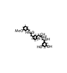 COc1cccc(CNC(=O)Cc2cccc(CC(C)(C)NC[C@H](O)c3cc(O)cc(O)c3)c2)c1